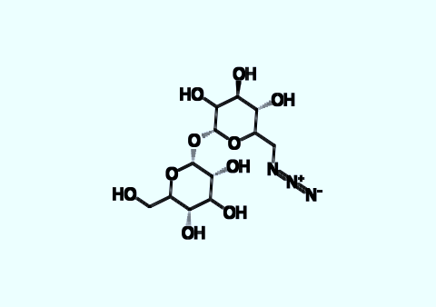 [N-]=[N+]=NCC1O[C@H](O[C@H]2OC(CO)[C@@H](O)C(O)[C@H]2O)C(O)[C@@H](O)[C@@H]1O